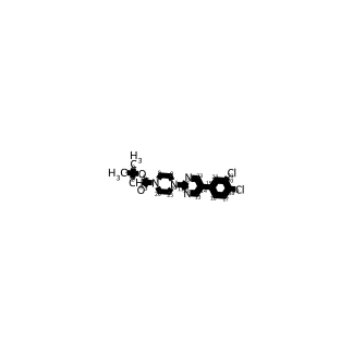 CC(C)(C)OC(=O)N1CCN(c2ncc(-c3ccc(Cl)c(Cl)c3)cn2)CC1